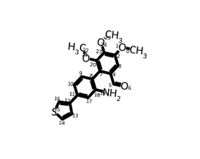 COc1cc(C=O)c(-c2ccc(-c3ccsc3)cc2N)c(OC)c1OC